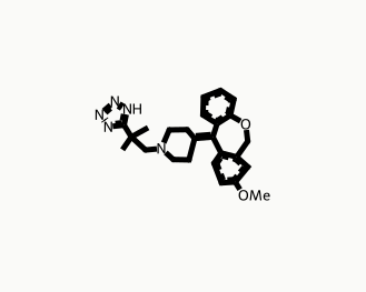 COc1ccc2c(c1)COc1ccccc1C2=C1CCN(CC(C)(C)c2nnn[nH]2)CC1